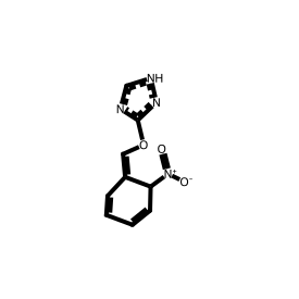 O=[N+]([O-])C1C=CC=CC1=COc1nc[nH]n1